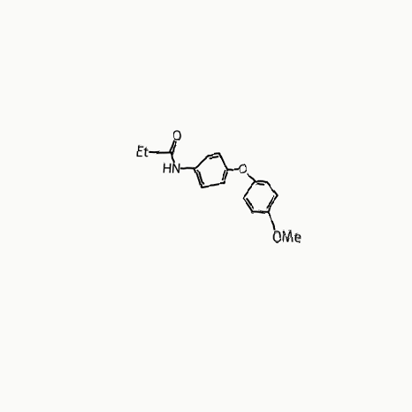 CCC(=O)Nc1ccc(Oc2ccc(OC)cc2)cc1